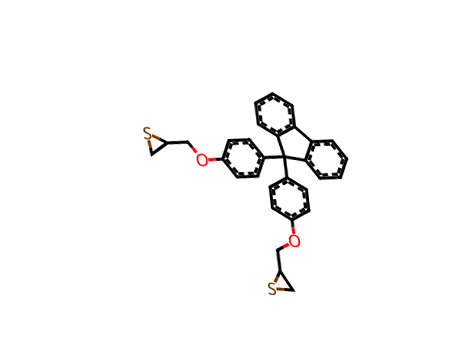 c1ccc2c(c1)-c1ccccc1C2(c1ccc(OCC2CS2)cc1)c1ccc(OCC2CS2)cc1